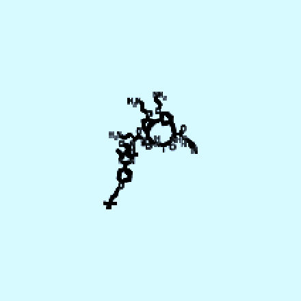 Cc1nc(-c2ccc(OCCCC(C)(C)C)cc2)nc(C)c1C(=O)N[C@@H](CCN)C(=O)N(C)[C@@H]1C(=O)N[C@@H](C)C(=O)N[C@H](C(=O)NCC#N)Cc2ccc(OCCN)c(c2)-c2cc1ccc2OCCN